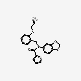 C=CCSc1ccccc1CN(C(=O)c1ccco1)c1ccc2c(c1)OCO2